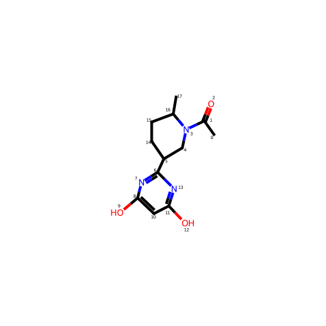 CC(=O)N1CC(c2nc(O)cc(O)n2)CCC1C